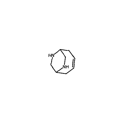 C1=CCC2CNC(C1)CN2